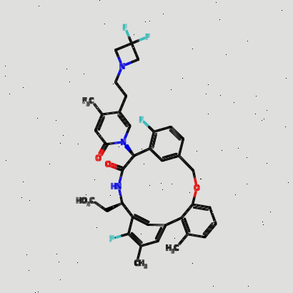 Cc1cc2cc(c1F)[C@@H](CC(=O)O)NC(=O)[C@@H](n1cc(CCN3CC(F)(F)C3)c(C(F)(F)F)cc1=O)c1cc(ccc1F)COc1cccc(C)c1-2